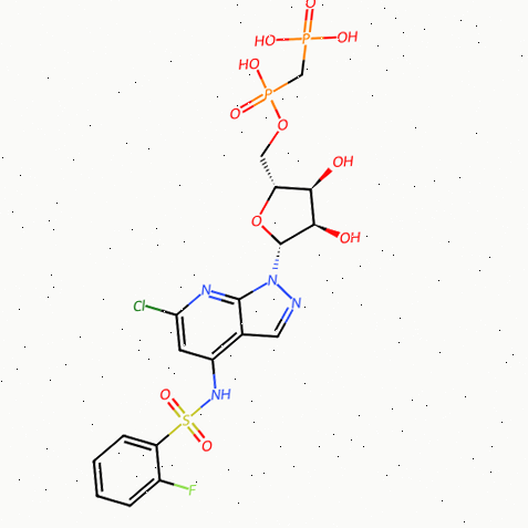 O=P(O)(O)CP(=O)(O)OC[C@H]1O[C@@H](n2ncc3c(NS(=O)(=O)c4ccccc4F)cc(Cl)nc32)[C@H](O)[C@@H]1O